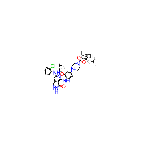 COc1cc(N2CCN(C(=O)OC(C)(C)C)CC2)ccc1Nc1nc(Nc2ccccc2Cl)cc2cn[nH]c(=O)c12